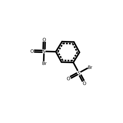 O=S(=O)(Br)c1cccc(S(=O)(=O)Br)c1